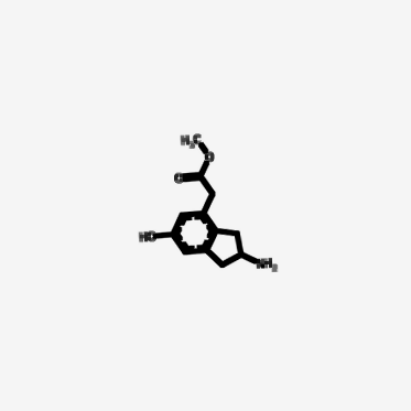 COC(=O)Cc1cc(O)cc2c1CC(N)C2